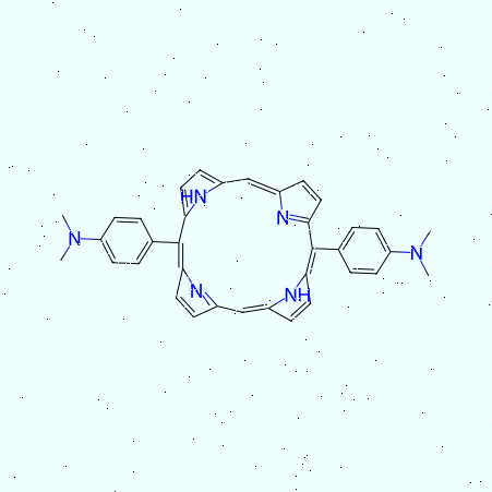 CN(C)c1ccc(-c2c3nc(cc4ccc([nH]4)c(-c4ccc(N(C)C)cc4)c4nc(cc5ccc2[nH]5)C=C4)C=C3)cc1